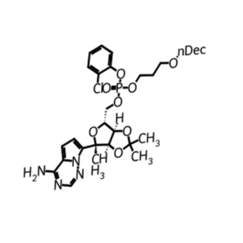 CCCCCCCCCCOCCCOP(=O)(OC[C@H]1O[C@@](C)(c2ccc3c(N)ncnn23)[C@@H]2OC(C)(C)O[C@@H]21)Oc1ccccc1Cl